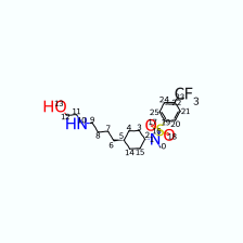 CN([C@H]1CC[C@H](CCCCNCCO)CC1)S(=O)(=O)c1ccc(C(F)(F)F)cc1